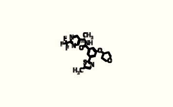 Cc1cnc(-c2cc(OC3CCOCC3)cc(C(=O)N[C@@H](C)c3cnc(C(F)(F)F)nc3)c2)s1